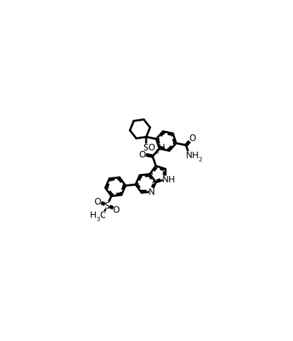 CS(=O)(=O)c1cccc(-c2cnc3[nH]cc(C(=O)c4cc(C(N)=O)ccc4C4(S(=O)(=O)O)CCCCC4)c3c2)c1